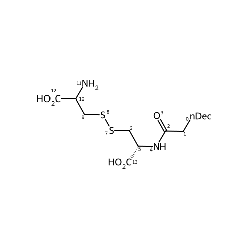 CCCCCCCCCCCC(=O)N[C@@H](CSSCC(N)C(=O)O)C(=O)O